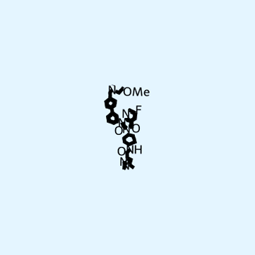 COCCN(C)Cc1ccc(-c2cccc(-n3c(=O)n([C@H]4CC[C@@H](NC(=O)c5cc(C)n(C)n5)CC4)c(=O)c4cc(F)cnc43)c2)cc1